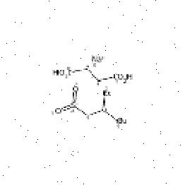 CCCCC(CC)C[S-](=O)=O.O=C(O)CCC(=O)O.[Na+]